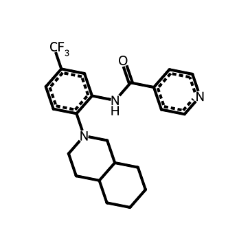 O=C(Nc1cc(C(F)(F)F)ccc1N1CCC2CCCCC2C1)c1ccncc1